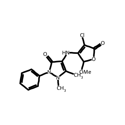 COC1OC(=O)C(Cl)=C1Nc1c(C)n(C)n(-c2ccccc2)c1=O